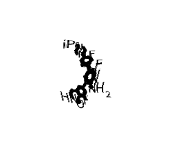 CC(C)N1CCN(c2ccc(-c3cc(-c4cc(F)c5c(c4)CCNC5=O)c(N)nc3F)cc2F)CC1